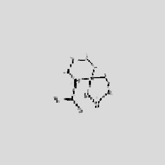 CC(C)N1CCCCC12CCOC2